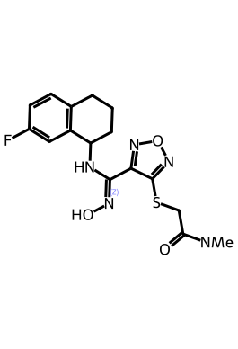 CNC(=O)CSc1nonc1/C(=N/O)NC1CCCc2ccc(F)cc21